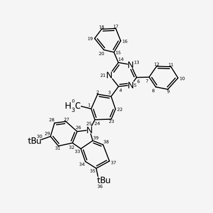 Cc1cc(-c2nc(-c3ccccc3)nc(-c3ccccc3)n2)ccc1-n1c2ccc(C(C)(C)C)cc2c2cc(C(C)(C)C)ccc21